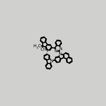 CC1(C)c2ccccc2-c2cc(-c3nc(-n4c5cc(-n6c7ccccc7c7ccccc76)ccc5c5c6ccccc6ccc54)nc4ccccc34)ccc21